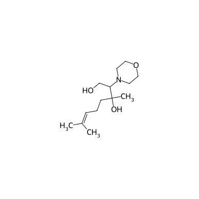 CC(C)=CCCC(C)(O)C(CO)N1CCOCC1